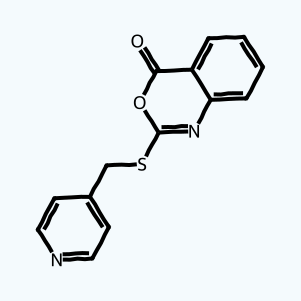 O=c1oc(SCc2ccncc2)nc2ccccc12